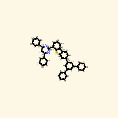 c1ccc(-c2cc(-c3ccccc3)cc(-c3ccc4c(c3)sc3c(-c5nc(-c6ccccc6)cc(-c6ccccc6)n5)cccc34)c2)cc1